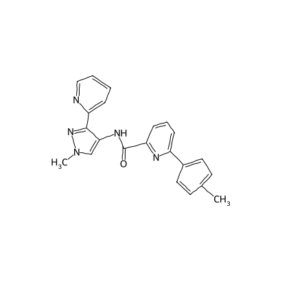 Cc1ccc(-c2cccc(C(=O)Nc3cn(C)nc3-c3ccccn3)n2)cc1